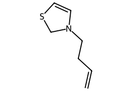 C=CCCN1C=CSC1